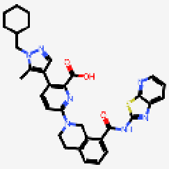 Cc1c(-c2ccc(N3CCc4cccc(C(=O)Nc5nc6cccnc6s5)c4C3)nc2C(=O)O)cnn1CC1CCCCC1